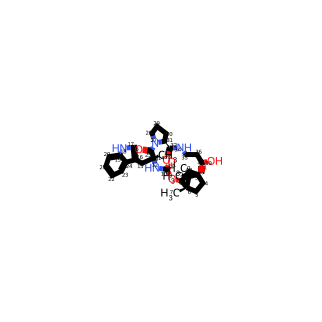 CC1(C)[C@H]2CC[C@]1(C)C(OC(=O)N[C@](C)(Cc1c[nH]c3ccccc13)C(=O)N1CCC[C@@H]1C(=O)NCCC(=O)O)C2